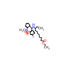 CCOC(=O)CCCCCCCC(CC)NC1c2ccccc2N(C)S(=O)(=O)c2cc(I)ccc21